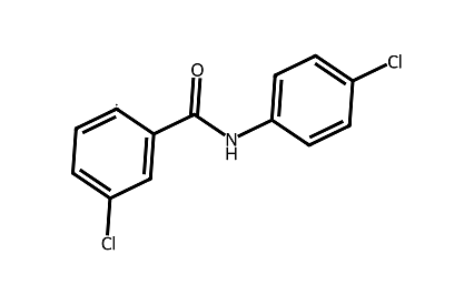 O=C(Nc1ccc(Cl)cc1)c1[c]ccc(Cl)c1